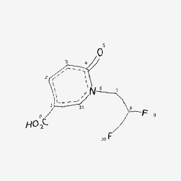 O=C(O)c1ccc(=O)n(CC(F)F)c1